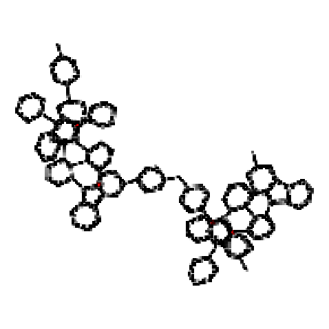 Cc1ccc(-c2ccc3c(c2)c2ccccc2n3-c2cccc(C#N)c2-c2c(-c3nc(-c4ccccc4)nc(-c4ccccc4)n3)cccc2-n2c3ccccc3c3cc(-c4ccc(Cc5ccc(-c6nc(-c7ccccc7)nc(-c7cccc(-n8c9ccccc9c9cc(C)ccc98)c7-c7c(C#N)cccc7-n7c8ccccc8c8cc(C)ccc87)n6)cc5)cc4)ccc32)cc1